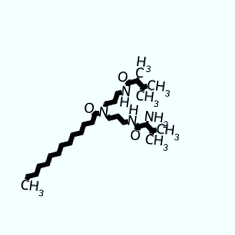 CCCCCCCCCCCCCC(=O)N(CCCNC(=O)[C@@H](C)C(C)C)CCCNC(=O)[C@@H](N)C(C)C